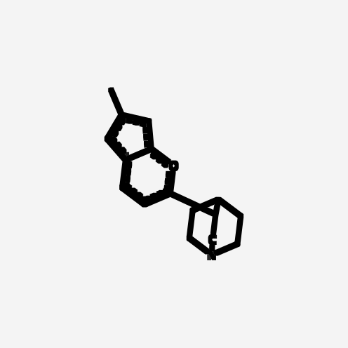 Cc1cc2ccc(C3CN4CCC3CC4)oc-2c1